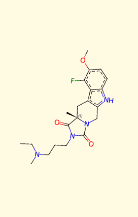 CCN(C)CCCN1C(=O)N2Cc3[nH]c4ccc(OC)c(F)c4c3C[C@@]2(C)C1=O